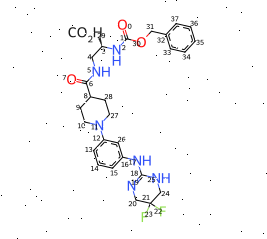 O=C(N[C@@H](CNC(=O)C1CCN(c2cccc(NC3=NCC(F)(F)CN3)c2)CC1)C(=O)O)OCc1ccccc1